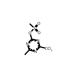 Cc1nc(OS(C)(=O)=O)nc(C(Cl)(Cl)Cl)n1